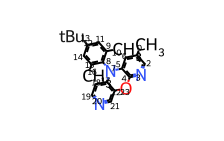 Cc1cnc2c(c1)N(c1c(C)cc(C(C)(C)C)cc1C)c1ccncc1O2